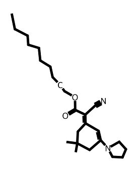 CCCCCCCCCCOC(=O)C(C#N)=C1C=C(N2CCCC2)CC(C)(C)C1